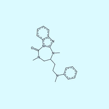 CN1CC(CCN(C)c2ccccc2)N(C)c2nc3ccccc3n2C1=O